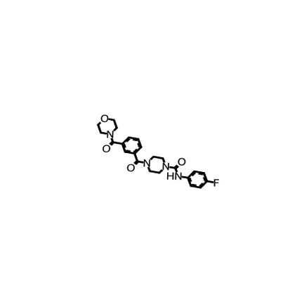 O=C(Nc1ccc(F)cc1)N1CCN(C(=O)c2cccc(C(=O)N3CCOCC3)c2)CC1